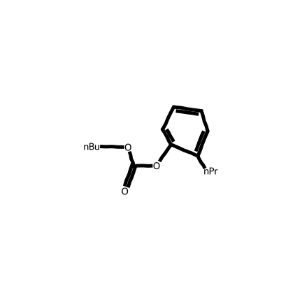 CCCCOC(=O)Oc1ccccc1CCC